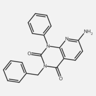 Nc1ccc2c(=O)n(Cc3ccccc3)c(=O)n(-c3ccccc3)c2n1